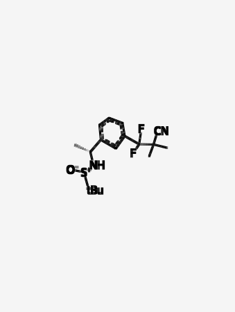 C[C@@H](N[S+]([O-])C(C)(C)C)c1cccc(C(F)(F)C(C)(C)C#N)c1